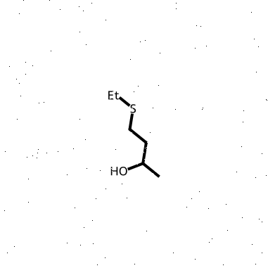 CCSCCC(C)O